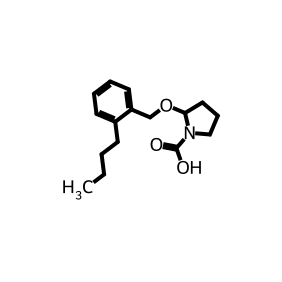 CCCCc1ccccc1COC1CCCN1C(=O)O